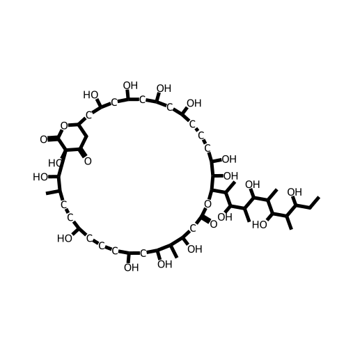 CCC(O)C(C)C(O)C(C)C(O)C(C)C(O)C(C)C1OC(=O)CC(O)C(C)C(O)CC(O)CCCC(O)CCC(C)C(O)C2(O)C(=O)CC(CC(O)CC(O)CC(O)CC(O)CCCC(O)C1O)OC2=O